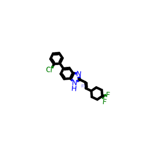 FC1(F)CCC(/C=C/c2nc3cc(-c4ccccc4Cl)ccc3[nH]2)CC1